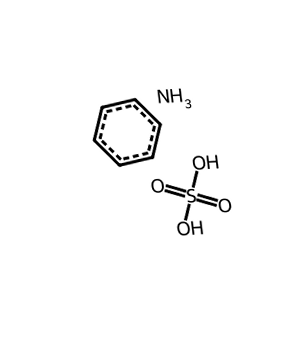 N.O=S(=O)(O)O.c1ccccc1